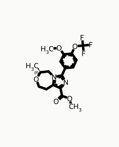 COC(=O)c1nc(-c2ccc(OC(F)(F)F)c(OC)c2)n2c1CCO[C@H](C)C2